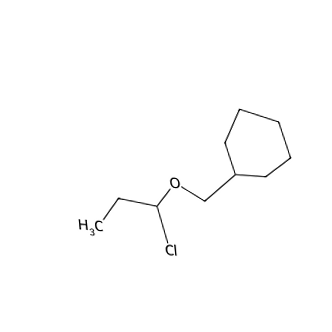 CCC(Cl)OCC1CCCCC1